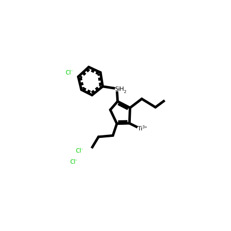 CCCC1=[C]([Ti+3])C(CCC)=C([SiH2]c2ccccc2)C1.[Cl-].[Cl-].[Cl-]